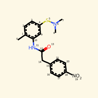 Cc1ccc(SN(C)C)cc1NC(=O)Cc1ccc([N+](=O)[O-])cc1